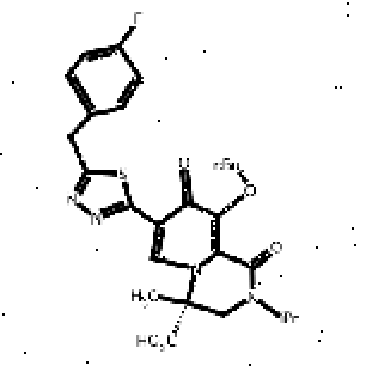 CCCCOc1c2n(cc(-c3nnc(Cc4ccc(F)cc4)s3)c1=O)[C@@](C)(C(=O)O)CN(C(C)C)C2=O